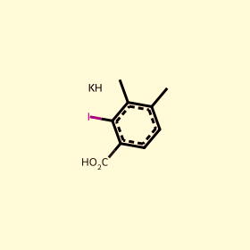 Cc1ccc(C(=O)O)c(I)c1C.[KH]